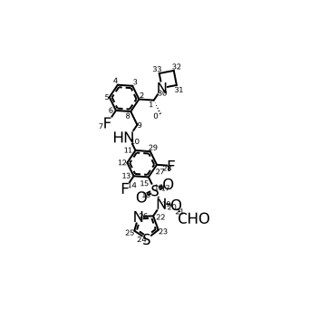 C[C@H](c1cccc(F)c1CNc1cc(F)c(S(=O)(=O)N(OC=O)c2cscn2)c(F)c1)N1CCC1